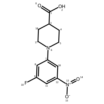 O=C(O)C1CCN(c2cc(F)cc([N+](=O)[O-])c2)CC1